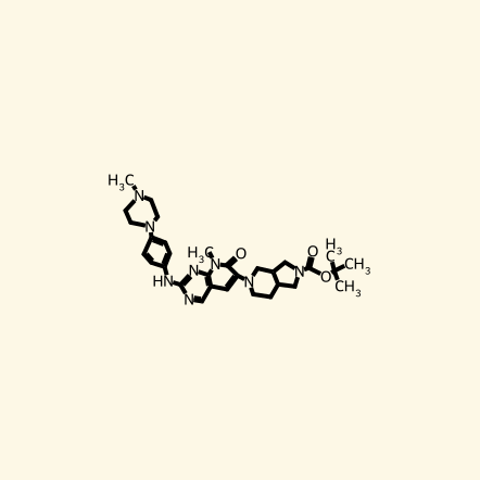 CN1CCN(c2ccc(Nc3ncc4cc(N5CCC6CN(C(=O)OC(C)(C)C)CC6C5)c(=O)n(C)c4n3)cc2)CC1